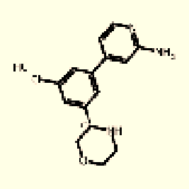 Cl.Nc1cc(-c2cc(Cl)cc([C@@H]3COCCN3)c2)ccn1